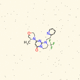 C[C@@H]1COCCN1c1cc(=O)n2c(n1)N(CCc1ccccn1)[C@H](C(F)(F)F)CC2